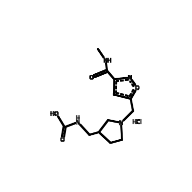 CNC(=O)c1cc(CN2CCC(CNC(=O)O)C2)on1.Cl